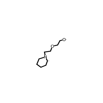 [O]CCOCCN1[CH]CCCC1